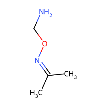 CC(C)=NOCN